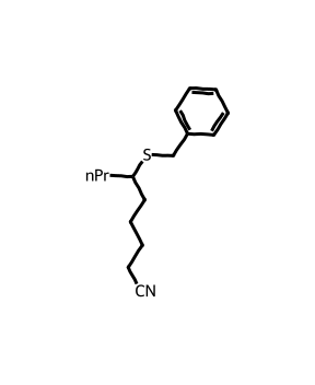 CCCC(CCCCC#N)SCc1ccccc1